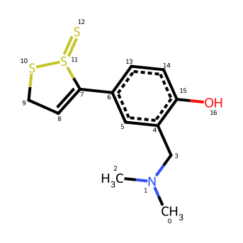 CN(C)Cc1cc(C2=CCSS2=S)ccc1O